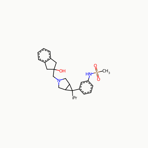 CC(C)C1(c2cccc(NS(C)(=O)=O)c2)C2CN(CC3(O)Cc4ccccc4C3)CC21